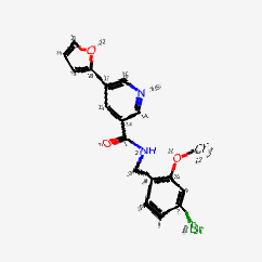 O=C(NCc1ccc(Br)cc1OC(F)(F)F)c1cncc(-c2ccco2)c1